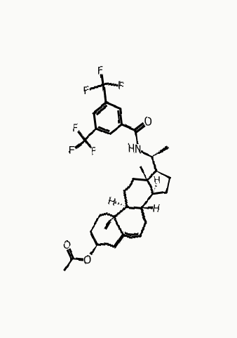 CC(=O)O[C@H]1CC[C@@]2(C)C(=CC[C@H]3[C@@H]4CC[C@H]([C@H](C)NC(=O)c5cc(C(F)(F)F)cc(C(F)(F)F)c5)[C@@]4(C)CC[C@@H]32)C1